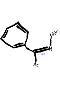 CC(=O)/C(=N/O)c1ccccc1